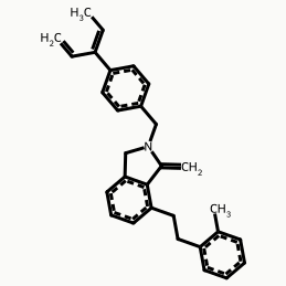 C=C/C(=C\C)c1ccc(CN2Cc3cccc(CCc4ccccc4C)c3C2=C)cc1